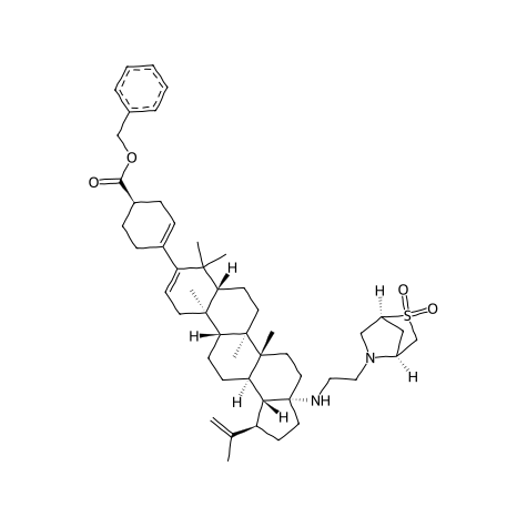 C=C(C)[C@@H]1CC[C@]2(NCCN3C[C@@H]4C[C@H]3CS4(=O)=O)CC[C@]3(C)[C@H](CC[C@@H]4[C@@]5(C)CC=C(C6=CC[C@H](C(=O)OCc7ccccc7)CC6)C(C)(C)[C@@H]5CC[C@]43C)[C@@H]12